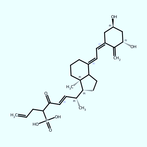 C=CCC(C(=O)/C=C/[C@@H](C)[C@H]1CCC2/C(=C/C=C3/C[C@@H](O)C[C@H](O)C3=C)CCC[C@@]21C)P(=O)(O)O